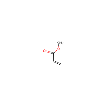 C=CC(=O)O[SiH2]